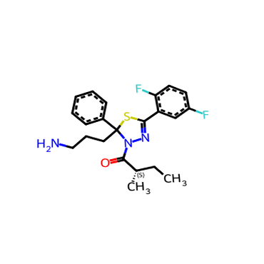 CC[C@H](C)C(=O)N1N=C(c2cc(F)ccc2F)SC1(CCCN)c1ccccc1